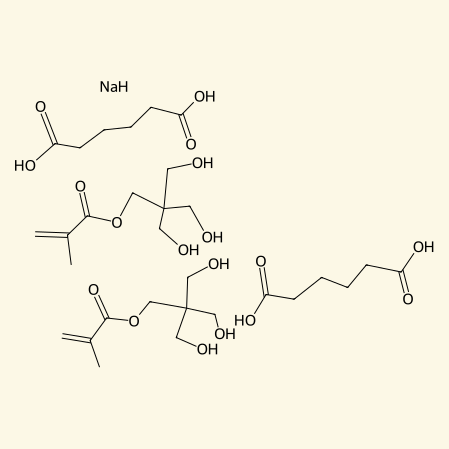 C=C(C)C(=O)OCC(CO)(CO)CO.C=C(C)C(=O)OCC(CO)(CO)CO.O=C(O)CCCCC(=O)O.O=C(O)CCCCC(=O)O.[NaH]